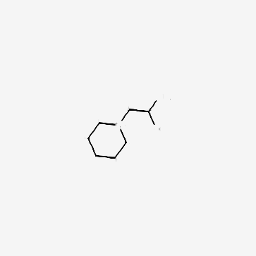 CC(O)[CH]N1CCCCC1